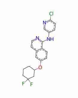 FC1(F)CCCC(Oc2ccc3c(Nc4ccc(Cl)nc4)nccc3c2)C1